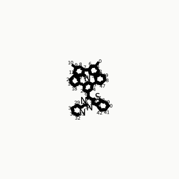 Cc1ccc2c(c1)c1cc(C)ccc1n2-c1c(-c2ccccc2)cc(-c2nc(-c3ccccn3)nc3c2sc2ccccc23)cc1-c1ccccc1